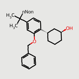 CCCCCCCCCC(C)(C)c1ccc([C@H]2CCC[C@H](O)C2)c(OCc2ccccc2)c1